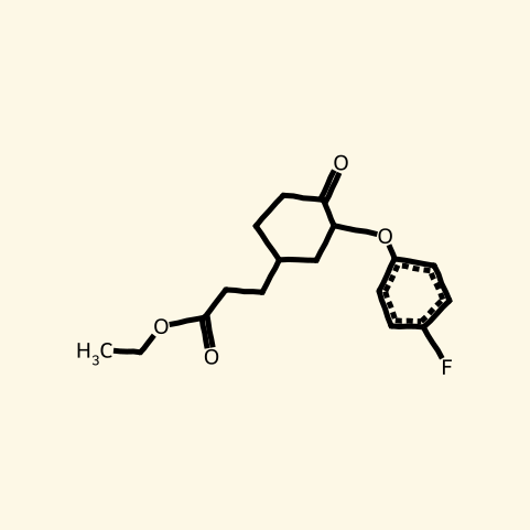 CCOC(=O)CCC1CCC(=O)C(Oc2ccc(F)cc2)C1